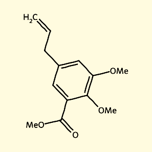 C=CCc1cc(OC)c(OC)c(C(=O)OC)c1